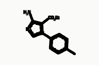 CCOC(=O)c1c(N)ncn1-c1ccc(C)cc1